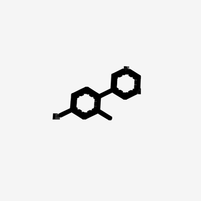 CCc1ccc(-c2cncnc2)c(C)c1